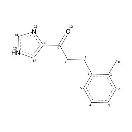 Cc1ccccc1CCC(=O)c1c[nH]cn1